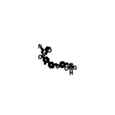 Cc1cc(C(=O)N(CCC#N)Cc2ccco2)ccc1-c1cccc(COc2ccc(Cn3oc(=O)[nH]c3=O)cc2)c1